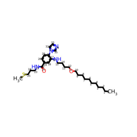 CCCCCCCCCCCOCCCCNc1cc(C(=O)NCCCSC)ccc1-n1ccnc1